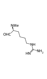 CN[C@H](C=O)CCCCNC(=N)N